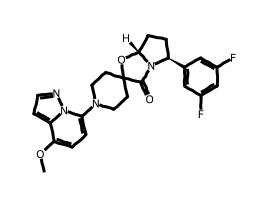 COc1ccc(N2CCC3(CC2)O[C@@H]2CC[C@@H](c4cc(F)cc(F)c4)N2C3=O)n2nccc12